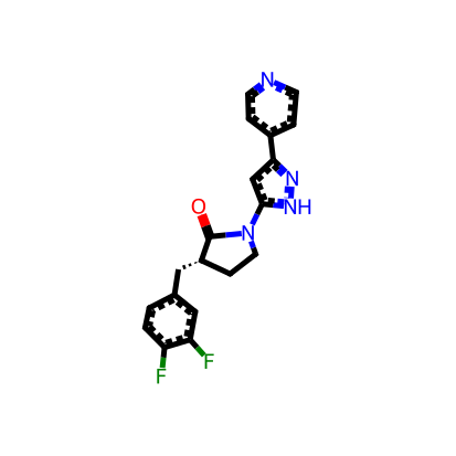 O=C1[C@@H](Cc2ccc(F)c(F)c2)CCN1c1cc(-c2ccncc2)n[nH]1